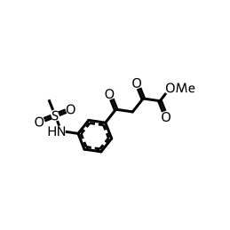 COC(=O)C(=O)CC(=O)c1cccc(NS(C)(=O)=O)c1